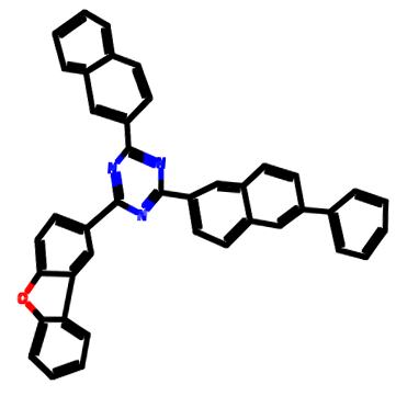 c1ccc(-c2ccc3cc(-c4nc(-c5ccc6ccccc6c5)nc(-c5ccc6oc7ccccc7c6c5)n4)ccc3c2)cc1